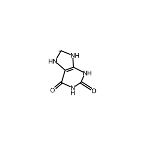 O=c1[nH]c2c(c(=O)[nH]1)N[C]N2